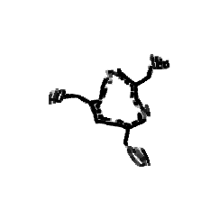 CC(C)(C)c1nc(O)cc(O)n1